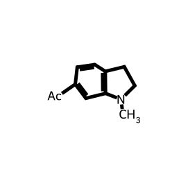 CC(=O)c1ccc2c(c1)N(C)CC2